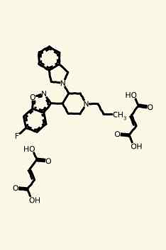 CCCN1CCC(c2noc3cc(F)ccc23)C(N2Cc3ccccc3C2)C1.O=C(O)C=CC(=O)O.O=C(O)C=CC(=O)O